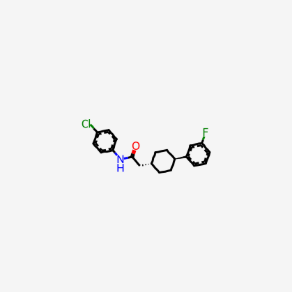 O=C(C[C@H]1CC[C@H](c2cccc(F)c2)CC1)Nc1ccc(Cl)cc1